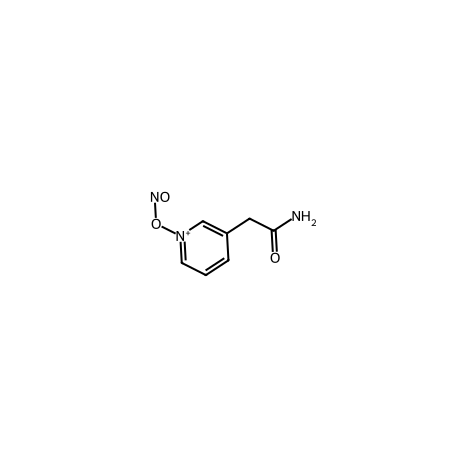 NC(=O)Cc1ccc[n+](ON=O)c1